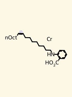 CCCCCCCC/C=C\CCCCCCCCNc1ccccc1C(=O)O.[Cr]